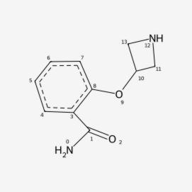 NC(=O)c1ccccc1OC1CNC1